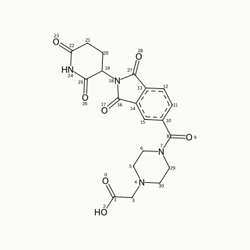 O=C(O)CN1CCN(C(=O)c2ccc3c(c2)C(=O)N(C2CCC(=O)NC2=O)C3=O)CC1